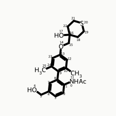 CC(=O)Nc1ccc(CO)cc1-c1c(C)cc(OCC2(O)CCSCC2)cc1C